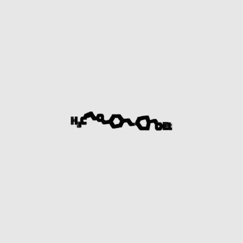 C/C=C\COCC1CCC(CC[C@H]2CC[C@H](COCC)CC2)CC1